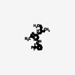 C/C=C\CC(CC)CNC1CC(NCC2=C(C(F)(F)F)CCC=C2)=NC2C(C)C=NN12